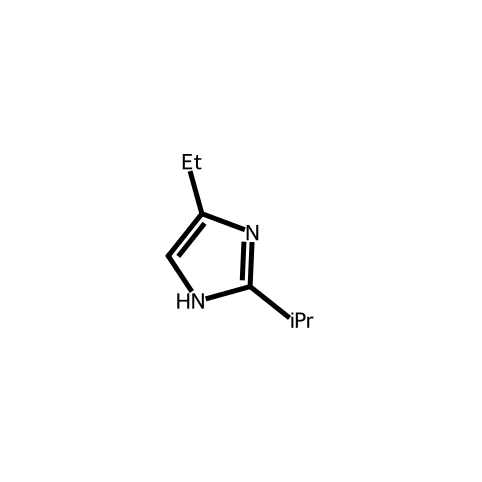 CCc1c[nH]c(C(C)C)n1